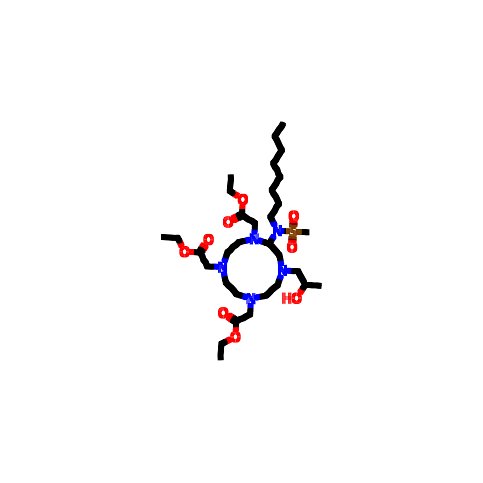 CCCCCCCCN(C1CN(CC(C)O)CCN(CC(=O)OCC)CCN(CC(=O)OCC)CCN1CC(=O)OCC)S(C)(=O)=O